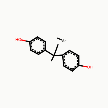 CC(C)(c1ccc(O)cc1)c1ccc(O)cc1.CC(C)=O